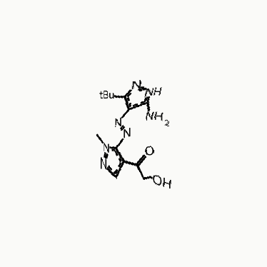 Cn1ncc(C(=O)CO)c1/N=N/c1c(C(C)(C)C)n[nH]c1N